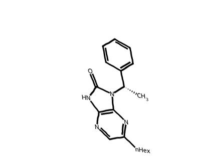 CCCCCCc1cnc2[nH]c(=O)n([C@@H](C)c3ccccc3)c2n1